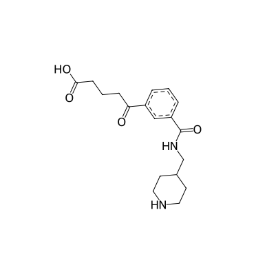 O=C(O)CCCC(=O)c1cccc(C(=O)NCC2CCNCC2)c1